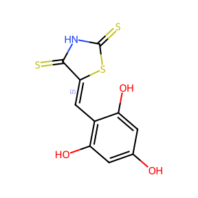 Oc1cc(O)c(/C=C2\SC(=S)NC2=S)c(O)c1